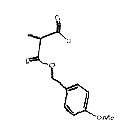 COc1ccc(COC(=O)C(C)C(=O)Cl)cc1